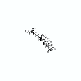 C=C(F)/C(NC(=O)CCCCN[S+]([O-])C(C)(C)C)=C(/F)C(F)C(C)(CF)N1CC(C)OC(C)C1